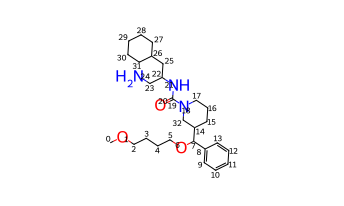 COCCCCOC(c1ccccc1)C1CCCN(C(=O)NC(CN)CC2CCCCC2)C1